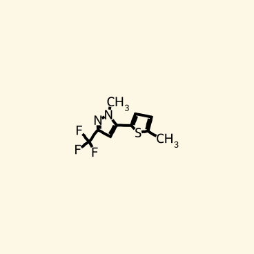 Cc1ccc(-c2cc(C(F)(F)F)nn2C)s1